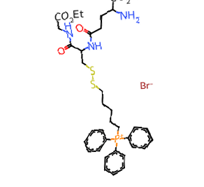 CCOC(=O)CNC(=O)C(CSSCCCCC[P+](c1ccccc1)(c1ccccc1)c1ccccc1)NC(=O)CCC(N)C(=O)OCC.[Br-]